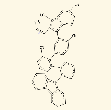 C/C=C\c1c(C)c2cc(C#N)ccc2n1-c1cc(-c2c(C#N)cccc2-c2ccccc2-n2c3ccccc3c3ccccc32)ccc1C#N